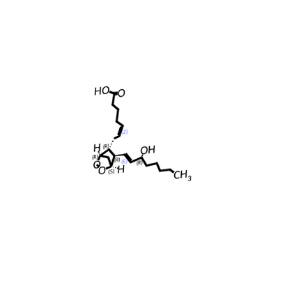 CCCCC[C@@H](O)/C=C/[C@@H]1[C@@H](C/C=C\CCCC(=O)O)[C@H]2C[C@@H]1OO2